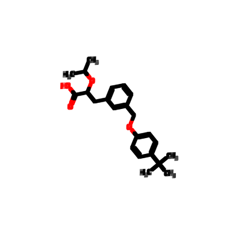 CC(C)OC(Cc1cccc(COc2ccc(C(C)(C)C)cc2)c1)C(=O)O